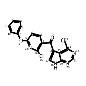 O=C(c1ccc(Oc2ccccc2)nc1Cl)c1c[nH]c2ncnc(Cl)c12